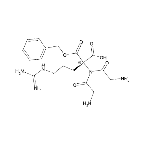 N=C(N)NCCC[C@](C(=O)O)(C(=O)OCc1ccccc1)N(C(=O)CN)C(=O)CN